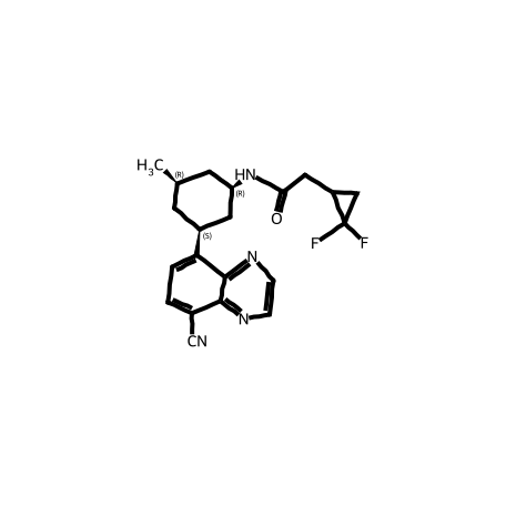 C[C@H]1C[C@@H](NC(=O)CC2CC2(F)F)C[C@@H](c2ccc(C#N)c3nccnc23)C1